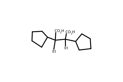 CCC(C(=O)O)(C1CCCC1)C(CC)(C(=O)O)C1CCCC1